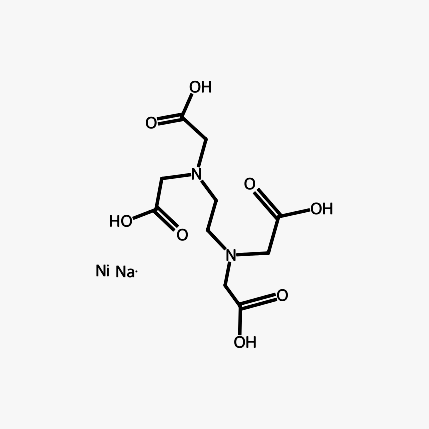 O=C(O)CN(CCN(CC(=O)O)CC(=O)O)CC(=O)O.[Na].[Ni]